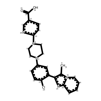 Cc1c(-c2cc(N3CCN(c4ccc(C(=O)O)cn4)CC3)ccc2Cl)nc2ccccn12